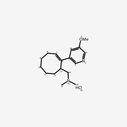 COc1cncc(C2=CCCCCCC2CN(C)C)c1.Cl